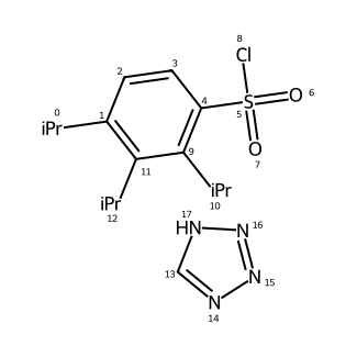 CC(C)c1ccc(S(=O)(=O)Cl)c(C(C)C)c1C(C)C.c1nnn[nH]1